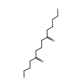 CCCCCC(=O)CCCC(=O)CCCC